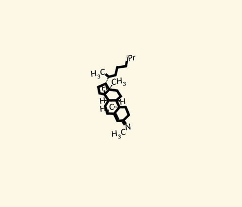 C/N=C1\C=C2CC[C@H]3[C@@H]4CC[C@H](C(C)CCCC(C)C)[C@@]4(C)CC[C@@H]3[C@@]2(C)CC1